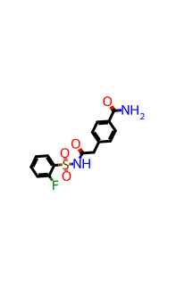 NC(=O)c1ccc(CC(=O)NS(=O)(=O)c2ccccc2F)cc1